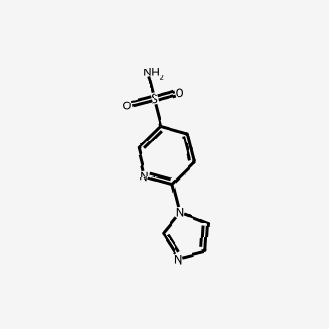 NS(=O)(=O)c1ccc(-n2ccnc2)nc1